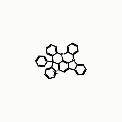 N#Cc1cc2c3ccccc3n3c2c2c1C(c1ccccc1)(c1ccccc1)c1ccccc1B2c1ccccc1-3